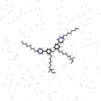 CCCCCCCCc1ncc(-c2ccc(Oc3ccc(-c4cnc(CCCCCCCC)nc4)cc3CCCCCC[Si](C)(C)CC)c(CCCCCC[Si](C)(C)CC)c2)cn1